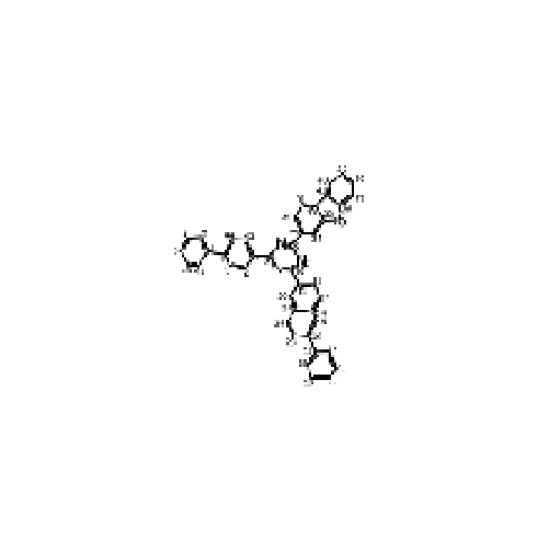 c1ccc(-c2ccc(-c3nc(-c4ccc5cc(-c6ccccc6)ccc5c4)nc(-c4ccc5c(c4)sc4ccccc45)n3)cc2)cc1